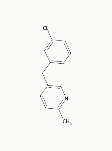 Cc1ccc(Cc2cccc(Cl)c2)cn1